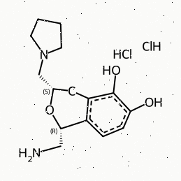 Cl.Cl.NC[C@@H]1O[C@H](CN2CCCC2)Cc2c1ccc(O)c2O